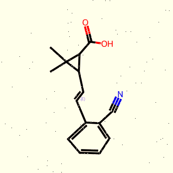 CC1(C)C(/C=C/c2ccccc2C#N)C1C(=O)O